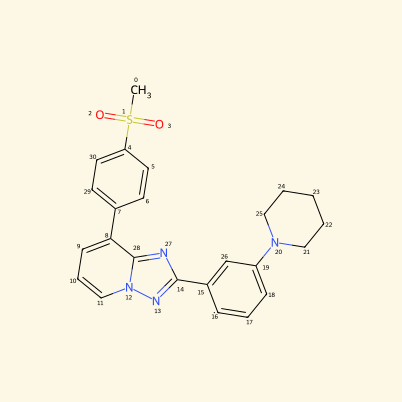 CS(=O)(=O)c1ccc(-c2cccn3nc(-c4[c]ccc(N5CCCCC5)c4)nc23)cc1